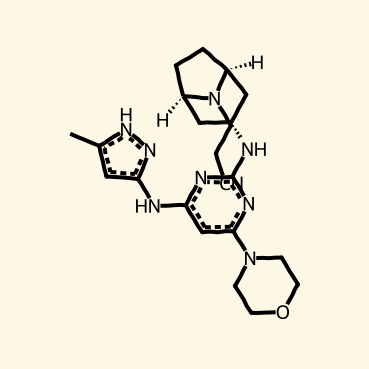 Cc1cc(Nc2cc(N3CCOCC3)nc(N[C@@H]3C[C@H]4CC[C@@H](C3)N4CCC#N)n2)n[nH]1